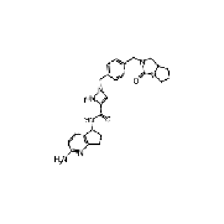 Nc1ccc2c(n1)CCC2NC(=O)c1cn(Cc2ccc(CN3CC4CCCN4C3=O)cc2)[nH]1